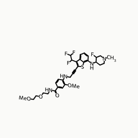 COCCOCCNC(=O)c1ccc(NCC#Cc2sc3c(NC4CCN(C)CC4F)cccc3c2C(F)C(F)F)c(OC)c1